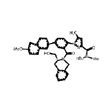 CCCCN(CCCC)C(=O)c1cc(C)n(-c2ccc(-c3ccc4cc(OC)ccc4c3)cc2C(=O)N2Cc3ccccc3C[C@H]2CO)n1